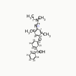 CCN(C)/C=N/c1cc(C)c(Oc2cccc(C(O)c3ccccc3)c2)cc1C